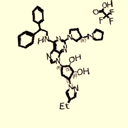 CCc1cnn([C@H]2C[C@@H](n3cnc4c(NCC(c5ccccc5)c5ccccc5)nc(N5CC[C@@H](N6CCCC6)C5)nc43)[C@H](O)[C@@H]2O)c1.O=C(O)C(F)(F)F